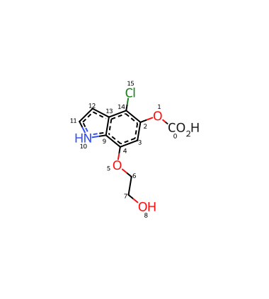 O=C(O)Oc1cc(OCCO)c2[nH]ccc2c1Cl